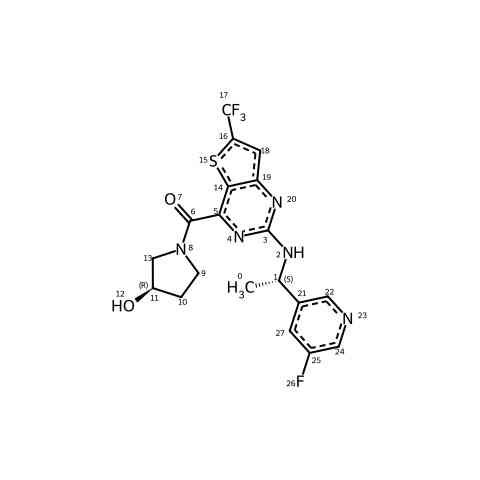 C[C@H](Nc1nc(C(=O)N2CC[C@@H](O)C2)c2sc(C(F)(F)F)cc2n1)c1cncc(F)c1